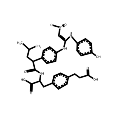 CC(C)CC(C(=O)NC(Cc1ccc(CCC(=O)O)cc1)C(=O)O)c1ccc(NC(=C[N+](=O)[O-])Nc2ccc(O)cc2)cc1